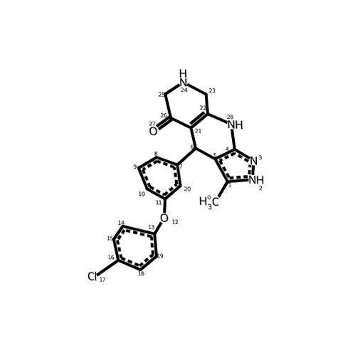 Cc1[nH]nc2c1C(c1cccc(Oc3ccc(Cl)cc3)c1)C1=C(CNCC1=O)N2